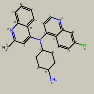 Cc1cc(N(c2ccnc3cc(Cl)ccc23)C2CCC(N)CC2)c2ccccc2n1